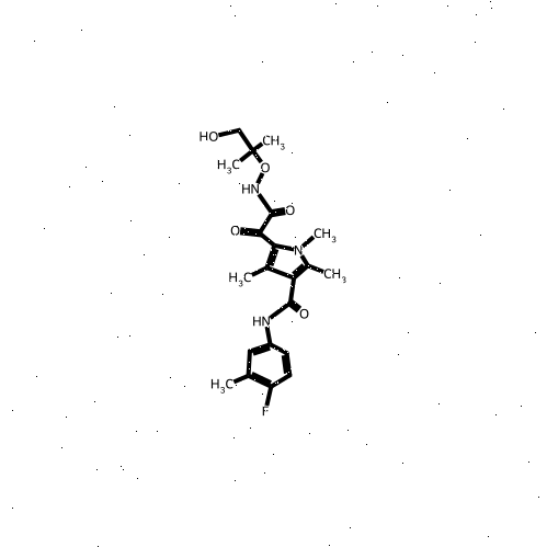 Cc1cc(NC(=O)c2c(C)c(C(=O)C(=O)NOC(C)(C)CO)n(C)c2C)ccc1F